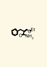 CCOC=C(Cc1ccccc1)C(N)=O